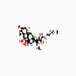 C[C@H](C[C@H](O)C(=O)NCCS(=O)(=O)O)C1C[C@H](O)[C@H]2C3C(CC[C@]12C)[C@@]1(C)CC[C@@H](O)C[C@H]1C[C@H]3O